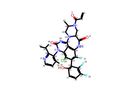 C=CC(=O)N1CC2C(=O)Nc3c(F)c(-c4c(O)ccc(F)c4F)c(Cl)c4c3c(nc(=O)n4-c3c(C)ccnc3C(C)C)N2CC1C